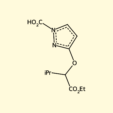 CCOC(=O)C(Oc1ccn(C(=O)O)n1)C(C)C